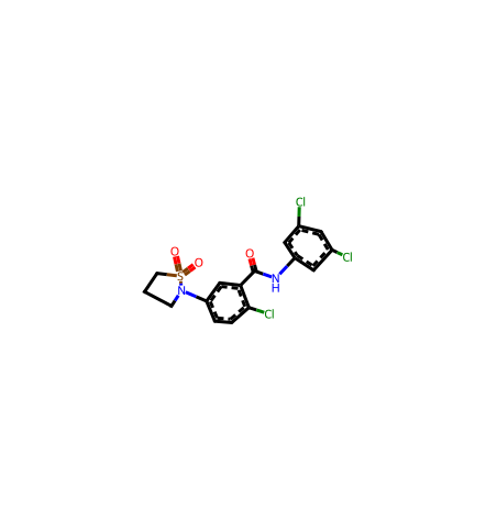 O=C(Nc1cc(Cl)cc(Cl)c1)c1cc(N2CCCS2(=O)=O)ccc1Cl